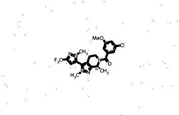 COc1cc(Cl)cc(C(=O)N2CCc3c(nn(C)c3-c3cc(C(F)(F)F)nn3C)[C@@H]2C)c1